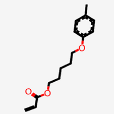 C=CC(=O)OCCCCCOc1ccc(C)cc1